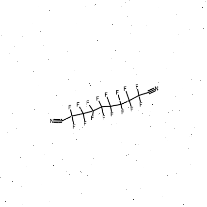 N#CC(F)(F)C(F)(F)C(F)(F)C(F)(F)C(F)(F)C(F)(F)C(F)(F)C(F)(F)C#N